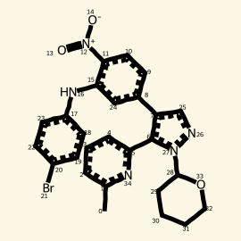 Cc1cccc(-c2c(-c3ccc([N+](=O)[O-])c(Nc4ccc(Br)cc4)c3)cnn2C2CCCCO2)n1